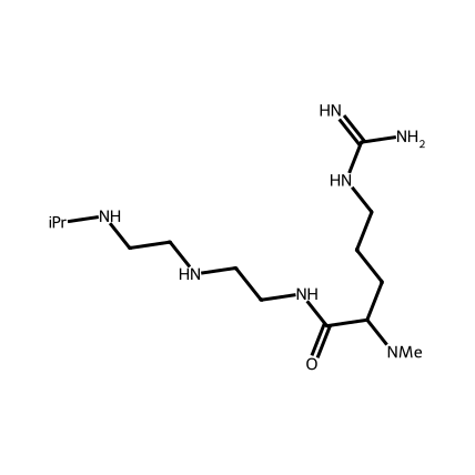 CNC(CCCNC(=N)N)C(=O)NCCNCCNC(C)C